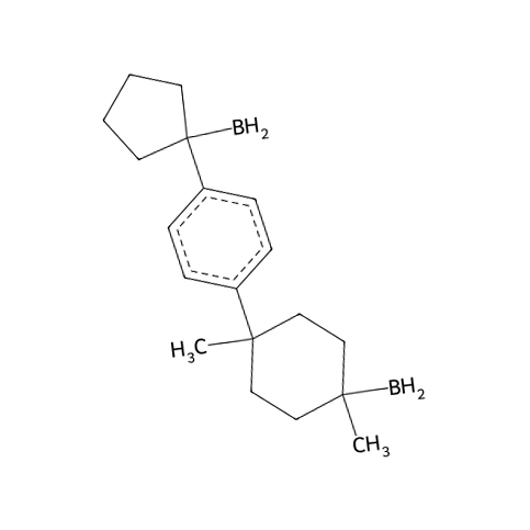 BC1(C)CCC(C)(c2ccc(C3(B)CCCC3)cc2)CC1